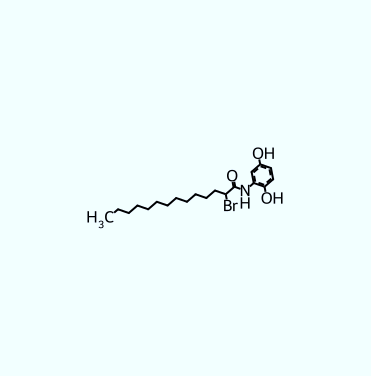 CCCCCCCCCCCCC(Br)C(=O)Nc1cc(O)ccc1O